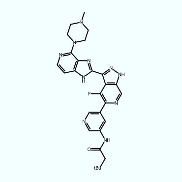 CN1CCN(c2nccc3[nH]c(-c4n[nH]c5cnc(-c6cncc(NC(=O)CC(C)(C)C)c6)c(F)c45)nc23)CC1